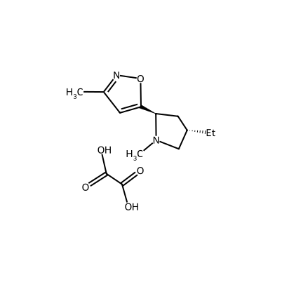 CC[C@H]1C[C@H](c2cc(C)no2)N(C)C1.O=C(O)C(=O)O